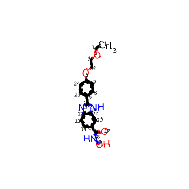 CCOCCOc1ccc(-c2nc3ccc(C(=O)NO)cc3[nH]2)cc1